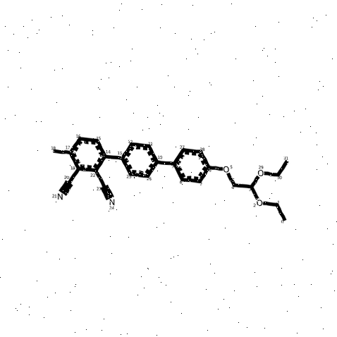 CCOC(COc1ccc(-c2ccc(-c3ccc(C)c(C#N)c3C#N)cc2)cc1)OCC